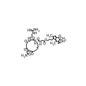 CC1=C(CCCOC(=O)CNC(=O)[C@@H]2CSSCCC(=O)N[C@@H](CC(N)=O)C(=O)CCC(=O)N[C@@H](CCCNC(=N)N)C(=O)N2)C2=C(C)C3(CC3)[C@@](C)(O)C(=O)C2=C1